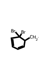 [CH2]C1C=CC=CC1(Br)Br